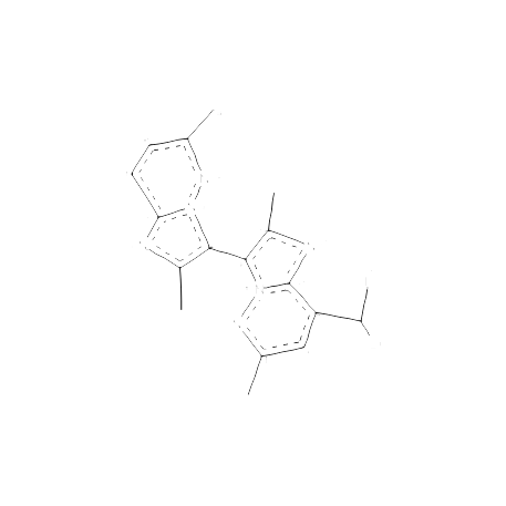 CCC(CC)c1cc(C)nn2c(-c3c(C)nc4ccc(C)nn34)c(C)nc12